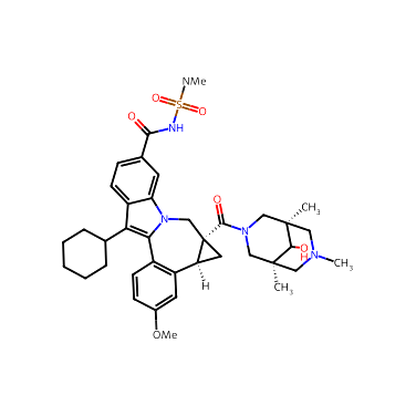 CNS(=O)(=O)NC(=O)c1ccc2c(C3CCCCC3)c3n(c2c1)C[C@@]1(C(=O)N2C[C@]4(C)CN(C)C[C@](C)(C2)C4O)C[C@H]1c1cc(OC)ccc1-3